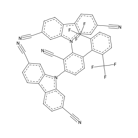 N#Cc1ccc2c3ccc(C#N)cc3n(-c3ccc(-c4c(C(F)(F)F)cccc4C(F)(F)F)c(-n4c5cc(C#N)ccc5c5ccc(C#N)cc54)c3C#N)c2c1